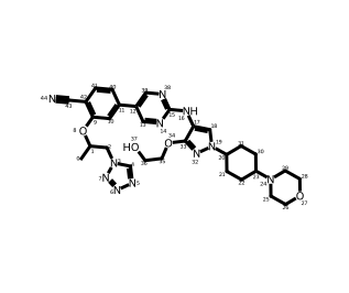 CC(Cn1cnnn1)Oc1cc(-c2cnc(Nc3cn(C4CCC(N5CCOCC5)CC4)nc3OCCO)nc2)ccc1C#N